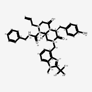 C=CCN1CC(=O)N2[C@@H](Cc3ccc(O)cc3)C(=O)N(Cc3cccc4c3nc(C(F)(F)F)n4C)C[C@@H]2N1C(=O)NCc1ccccc1